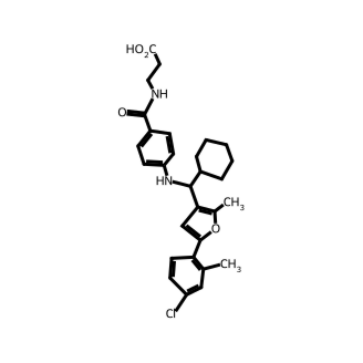 Cc1cc(Cl)ccc1-c1cc(C(Nc2ccc(C(=O)NCCC(=O)O)cc2)C2CCCCC2)c(C)o1